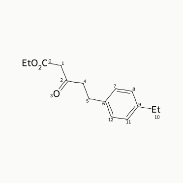 CCOC(=O)CC(=O)CCc1ccc(CC)cc1